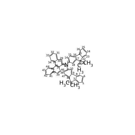 CC1(C)c2ccccc2-c2cc(N(c3ccc4c(c3)C(C)(C)c3ccccc3-4)c3cc4ccccc4c4c3ccc3ccccc34)ccc21